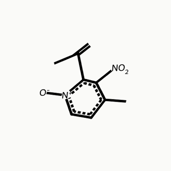 C=C(C)c1c([N+](=O)[O-])c(C)cc[n+]1[O-]